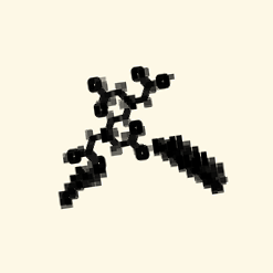 O=C([O-])CN(CCN(CC(=O)[O-])CC(=O)[O-])CC(=O)[O-].[K+].[K+].[K+].[K+].[NaH].[NaH].[NaH].[NaH].[NaH].[NaH].[NaH].[NaH]